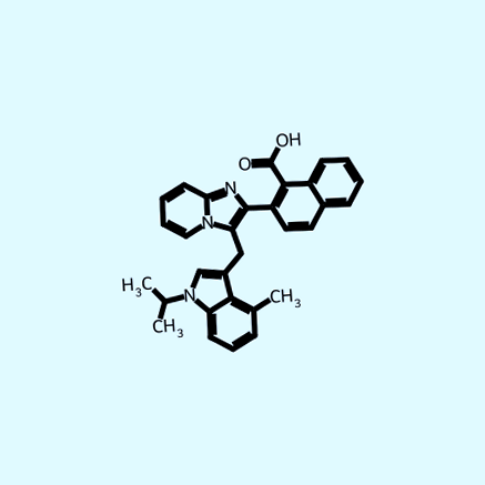 Cc1cccc2c1c(Cc1c(-c3ccc4ccccc4c3C(=O)O)nc3ccccn13)cn2C(C)C